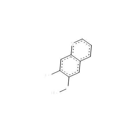 CSc1cc2cccnc2cc1C